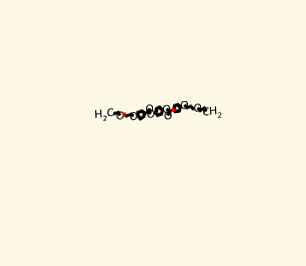 C=CCOCCCOc1ccc(C(=O)Oc2ccc(OC(=O)c3ccc(OCCCOCC=C)cc3)cc2)cc1